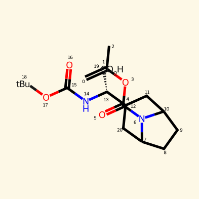 C=C(C)OC(=O)N1C2CCC1CC([C@H](NC(=O)OC(C)(C)C)C(=O)O)C2